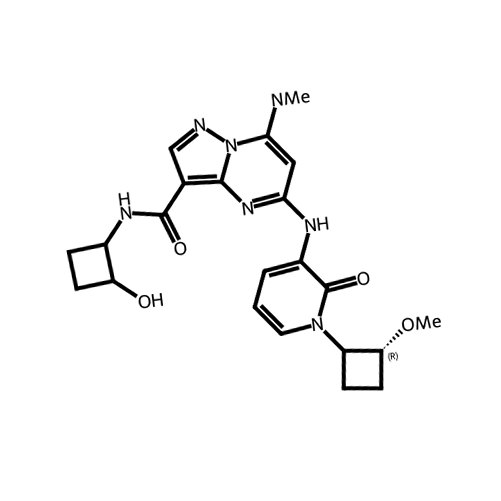 CNc1cc(Nc2cccn(C3CC[C@H]3OC)c2=O)nc2c(C(=O)NC3CCC3O)cnn12